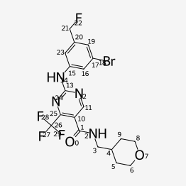 O=C(NCC1CCOCC1)c1cnc(Nc2cc(Br)cc(CF)c2)nc1C(F)(F)F